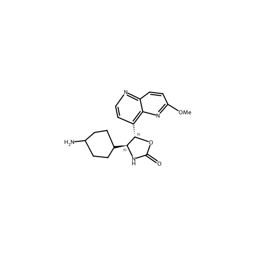 COc1ccc2nccc([C@@H]3OC(=O)N[C@H]3C3CCC(N)CC3)c2n1